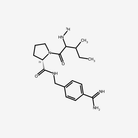 [3H]NC(C(=O)N1CCC[C@H]1C(=O)NCc1ccc(C(=N)N)cc1)C(C)CC